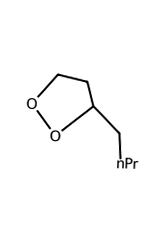 CCCCC1CCOO1